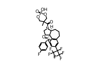 CC1(C(=O)N2CC[C@]3(S(=O)(=O)c4ccc(F)cc4)c4ccc(C(F)(C(F)(F)F)C(F)(F)F)cc4CCC[C@H]23)COP(=O)(O)OC1